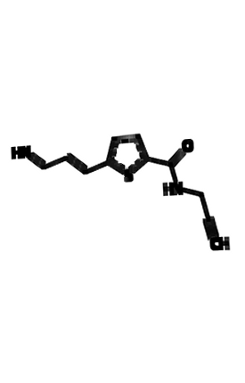 C#CCNC(=O)c1ccc(/C=C/C=N)s1